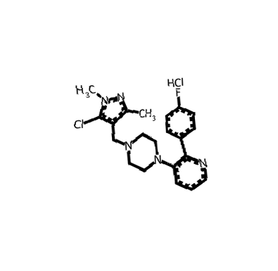 Cc1nn(C)c(Cl)c1CN1CCN(c2cccnc2-c2ccc(F)cc2)CC1.Cl